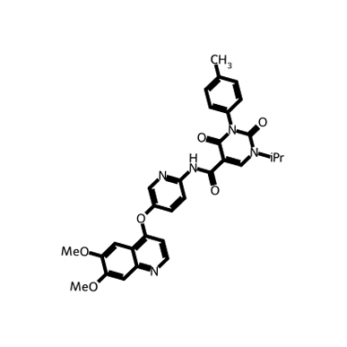 COc1cc2nccc(Oc3ccc(NC(=O)c4cn(C(C)C)c(=O)n(-c5ccc(C)cc5)c4=O)nc3)c2cc1OC